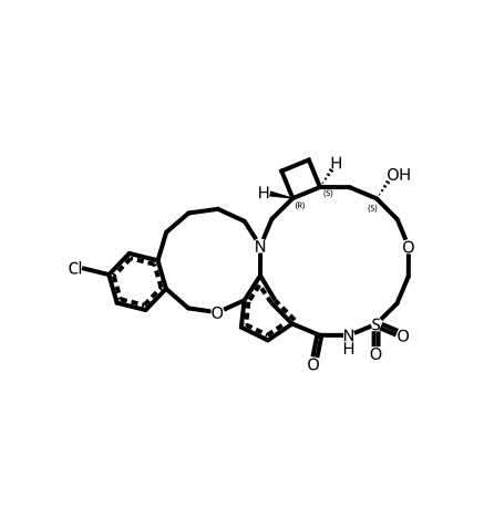 O=C1NS(=O)(=O)CCOC[C@@H](O)C[C@@H]2CC[C@H]2CN2CCCCc3cc(Cl)ccc3COc3ccc1cc32